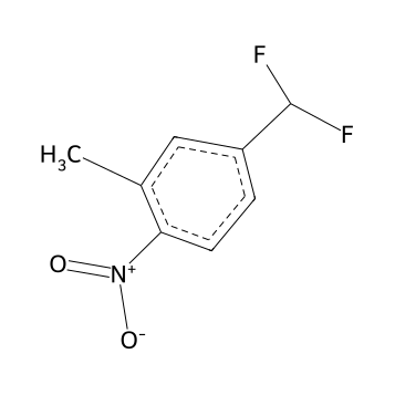 Cc1cc(C(F)F)ccc1[N+](=O)[O-]